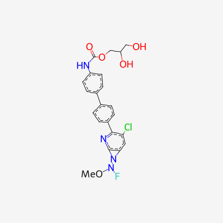 CON(F)N1c2cc(Cl)c(-c3ccc(-c4ccc(NC(=O)OCC(O)CO)cc4)cc3)nc21